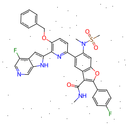 CNC(=O)c1c(-c2ccc(F)cc2)oc2cc(N(C)S(C)(=O)=O)c(-c3ccc(OCc4ccccc4)c(-c4cc5c(F)cncc5[nH]4)n3)cc12